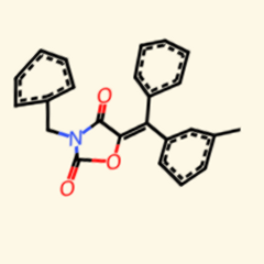 Cc1cccc(C(=C2OC(=O)N(Cc3ccccc3)C2=O)c2ccccc2)c1